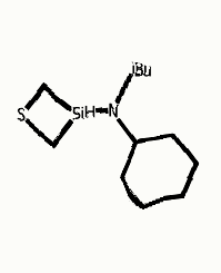 CCC(C)N(C1CCCCC1)[SiH]1CSC1